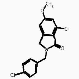 COc1cc(Cl)c2c(c1)CN(Cc1ccc(Cl)cc1)C2=O